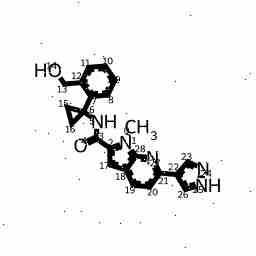 Cn1c(C(=O)NC2(c3ccccc3CO)CC2)cc2ccc(-c3cn[nH]c3)nc21